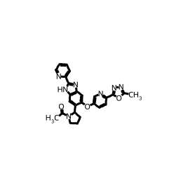 CC(=O)N1CCCC1c1cc2[nH]c(-c3ccccn3)nc2cc1Oc1ccc(-c2nnc(C)o2)nc1